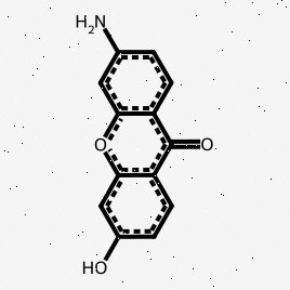 Nc1ccc2c(=O)c3ccc(O)cc3oc2c1